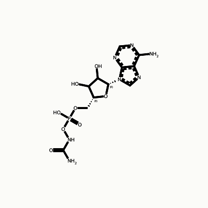 NC(=O)NOP(=O)(O)OC[C@H]1O[C@@H](n2cnc3c(N)ncnc32)C(O)C1O